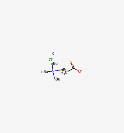 CC([O-])=S.CCCC[N+](CCCC)(CCCC)CCCC.[Cl-].[K+]